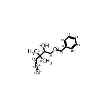 CC(C)(N=[N+]=[N-])C(O)COCc1ccccc1